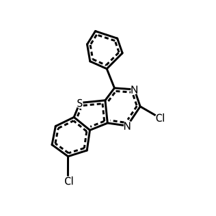 Clc1ccc2sc3c(-c4ccccc4)nc(Cl)nc3c2c1